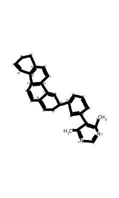 Cc1ncnc(C)c1-c1cccc(C2C=c3c(ccc4c5c(ccc34)CCC=C5)=CC2)c1